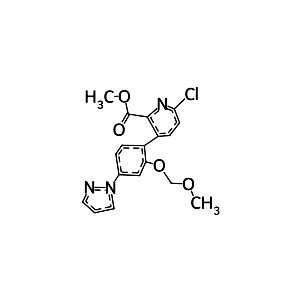 COCOc1cc(-n2cccn2)ccc1-c1ccc(Cl)nc1C(=O)OC